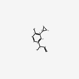 [CH2]C(C=C)c1ccc(C)c(C2CC2)c1